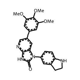 COc1cc(-c2cnc3[nH]c(=O)n(-c4ccc5c(c4)CCN5)c3c2)cc(OC)c1OC